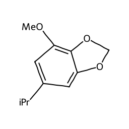 COc1cc(C(C)C)cc2c1OCO2